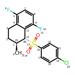 C[C@H]1CCc2c(F)ccc(F)c2[C@@H]1S(=O)(=O)c1ccc(Cl)cc1